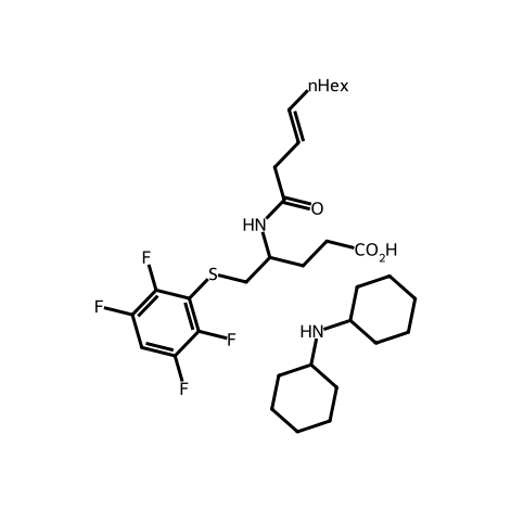 C1CCC(NC2CCCCC2)CC1.CCCCCC/C=C/CC(=O)NC(CCC(=O)O)CSc1c(F)c(F)cc(F)c1F